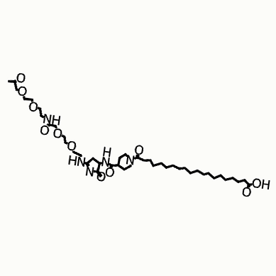 CC(=O)COCCOCCNC(=O)COCCOCCNC1=NC(=O)C(NC(=O)C2CCN(C(=O)CCCCCCCCCCCCCCCCCCC(=O)O)CC2)C1